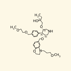 CC[C@H](O)CO[C@@H]1CNC[C@H](OCc2ccc3c(c2)N(CCCOC)CCO3)[C@H]1c1ccc(COCCOC)cc1